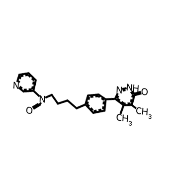 Cc1c(-c2ccc(CCCCN(C=O)c3cccnc3)cc2)n[nH]c(=O)c1C